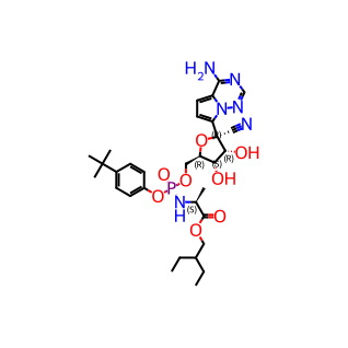 CCC(CC)COC(=O)[C@H](C)NP(=O)(OC[C@H]1O[C@@](C#N)(c2ccc3c(N)ncnn23)[C@H](O)[C@@H]1O)Oc1ccc(C(C)(C)C)cc1